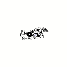 CCN(CC)c1ccc(/N=C(\C#N)C(=C(C#N)C#N)N(C(=O)OCC(C)C)C(=O)OCC(C)C)c(NC(C)=O)c1